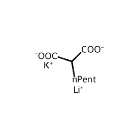 CCCCCC(C(=O)[O-])C(=O)[O-].[K+].[Li+]